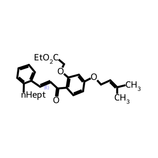 CCCCCCCc1ccccc1/C=C/C(=O)c1ccc(OCC=C(C)C)cc1OCC(=O)OCC